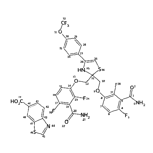 NC(=O)c1c(F)ccc(OCC2(COc3ccc(F)c(C(N)=O)c3F)NC(c3ccc(OC(F)(F)F)cc3)=CS2)c1F.O=C(O)c1ccc2ncsc2c1